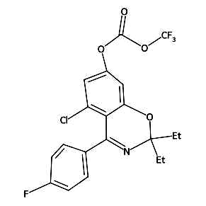 CCC1(CC)N=C(c2ccc(F)cc2)c2c(Cl)cc(OC(=O)OC(F)(F)F)cc2O1